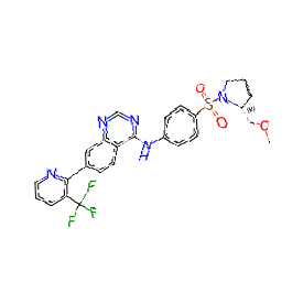 COC[C@H]1CCCN1S(=O)(=O)c1ccc(Nc2ncnc3cc(-c4ncccc4C(F)(F)F)ccc23)cc1